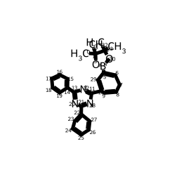 CC1(C)OB(C2=CCC=CC(c3nc(-c4ccccc4)nc(-c4ccccc4)n3)=C2)OC1(C)C